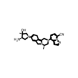 C[C@@H]1CN(c2ccc(C#N)n3nccc23)CC2=C3CC=C(N4C[C@@H](N)[C@](C)(O)C4)C=C3CN21